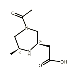 CC(=O)N1C[C@@H](CC(=O)O)N[C@@H](C)C1